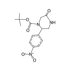 CC(C)(C)OC(=O)N1CC(=O)NCC1c1ccc([N+](=O)[O-])cc1